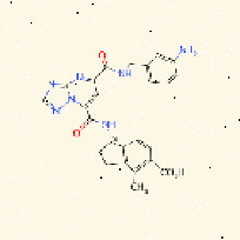 Cc1c(C(=O)O)ccc2c1CC[C@@H]2NC(=O)c1cc(C(=O)NCc2cccc(N)c2)nc2ncnn12